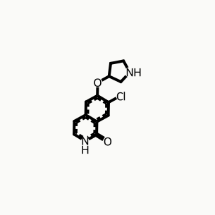 O=c1[nH]ccc2cc(OC3CCNC3)c(Cl)cc12